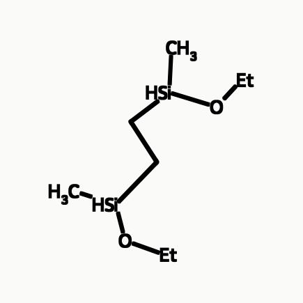 CCO[SiH](C)CC[SiH](C)OCC